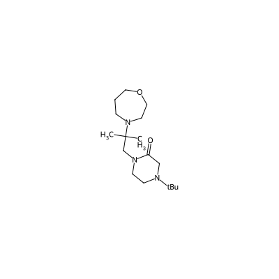 CC(C)(C)N1CCN(CC(C)(C)N2CCCOCC2)C(=O)C1